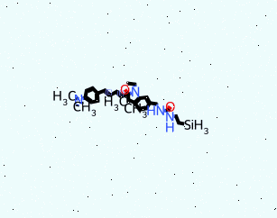 CN(C)c1ccc(/C=C/C=C/C23OCCN2c2cc(CNC(=O)NCC[SiH3])ccc2C3(C)C)cc1